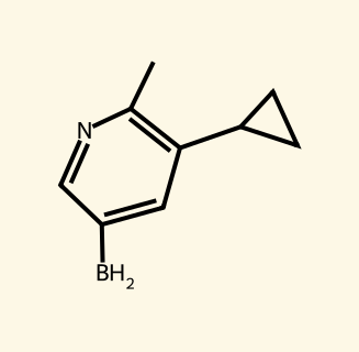 Bc1cnc(C)c(C2CC2)c1